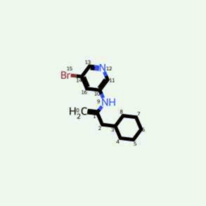 C=C(CC1CCCCC1)Nc1cncc(Br)c1